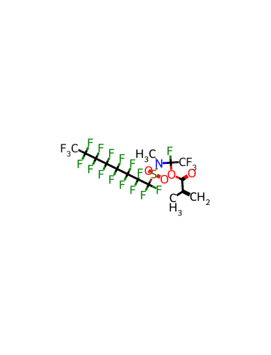 C=C(C)C(=O)OC(F)(N(C)S(=O)(=O)C(F)(F)C(F)(F)C(F)(F)C(F)(F)C(F)(F)C(F)(F)C(F)(F)C(F)(F)F)C(F)(F)F